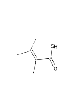 CC(C)=C(C)C(=O)S